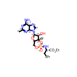 CCOC(=O)[C@H](CC(C)C)NP1(=O)OCC2O[C@@H](N3C=NC4C(N)=NC(C)=NC43)[C@@H](O)[C@@H]2O1